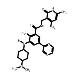 CCN(c1cc(-c2cnccn2)cc(C(=O)NCc2c(C)cc(C)[nH]c2=O)c1C)C1CCC(N(C)C)CC1